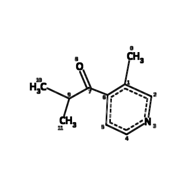 Cc1cnccc1C(=O)C(C)C